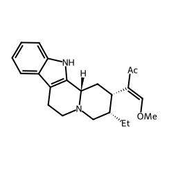 CC[C@@H]1CN2CCc3c([nH]c4ccccc34)[C@@H]2C[C@@H]1/C(=C\OC)C(C)=O